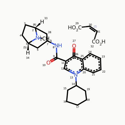 CN1[C@@H]2CC[C@H]1CC(NC(=O)c1cn(C3CCCCC3)c3ccccc3c1=O)C2.O=C(O)/C=C\C(=O)O